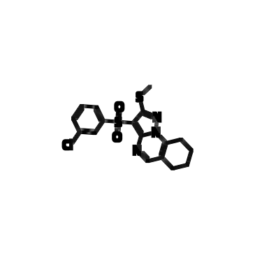 CSc1nn2c3c(cnc2c1S(=O)(=O)c1cccc(Cl)c1)CCCC3